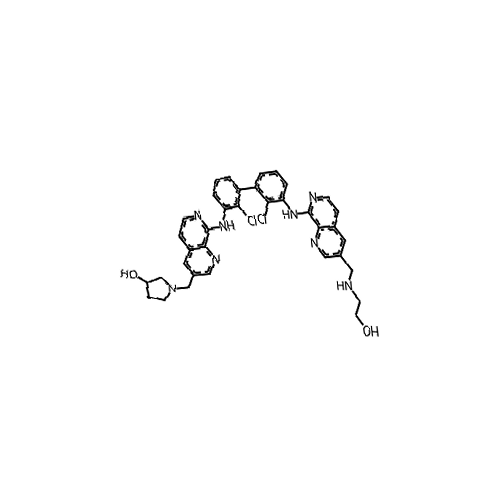 OCCNCc1cnc2c(Nc3cccc(-c4cccc(Nc5nccc6cc(CN7CCC(O)C7)cnc56)c4Cl)c3Cl)nccc2c1